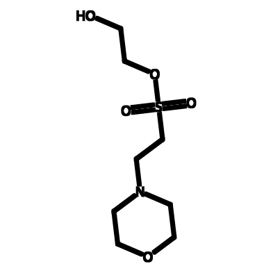 O=S(=O)(CCN1CCOCC1)OCCO